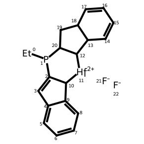 CCP1C2=Cc3ccccc3[CH]2[Hf+2][CH]2C3C=CC=CC3CC21.[F-].[F-]